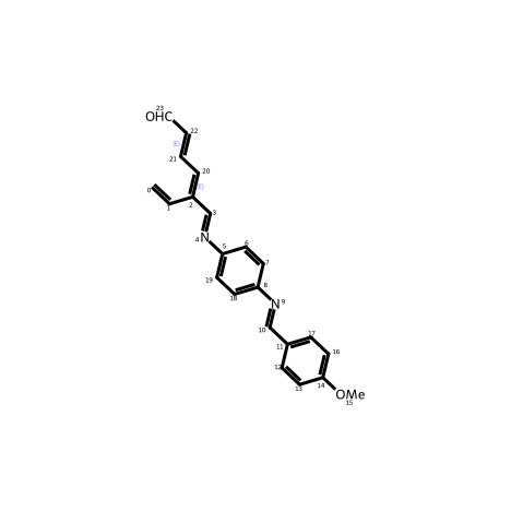 C=C/C(C=Nc1ccc(N=Cc2ccc(OC)cc2)cc1)=C\C=C\C=O